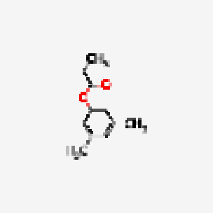 CCC(=O)Oc1cc(C)cc(C)c1